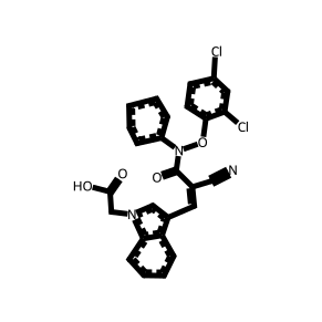 N#CC(=Cc1cn(CC(=O)O)c2ccccc12)C(=O)N(Oc1ccc(Cl)cc1Cl)c1ccccc1